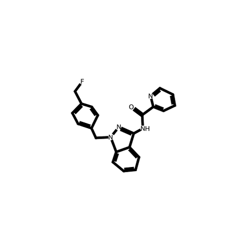 O=C(Nc1nn(Cc2ccc(CF)cc2)c2ccccc12)c1ccccn1